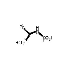 CC(C)C(NC(=O)O)C(=O)O